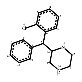 Clc1ccccc1C(c1ccccc1)C1CNCC[N]1